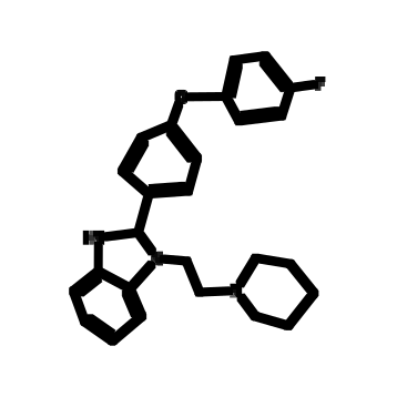 Fc1ccc(Oc2ccc(C3Nc4ccccc4N3CCN3CCCCC3)cc2)cc1